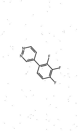 Fc1ccc(-c2ccnnc2)c(F)c1F